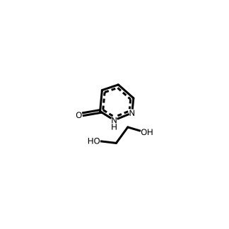 O=c1cccn[nH]1.OCCO